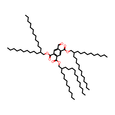 CCCCCCCCCCCCC(CCCCCCCCCC)COC(=O)c1cc(C(=O)OCC(CCCCCCCCCC)CCCCCCCCCCCC)c(C(=O)OCC(CCCCCCCCCC)CCCCCCCCCCCC)cc1C=O